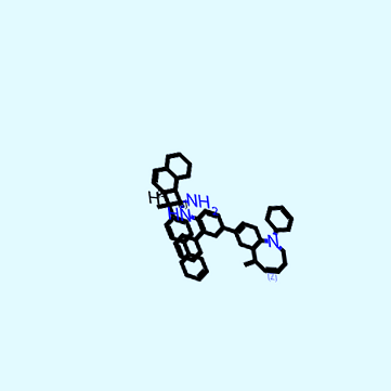 CC1/C=C\CCN(C2CC=CCC2)C2CC=C(C3C=CC(N[C@@]4(N)C5C6CCCCC6C=C[C@@H]5C4(C)C4=CCC(C5CC=CCC5)C=C4)=C(C4CC=CCC4)C3)CC12